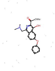 COC(=O)c1nc(CN(C)C)c2ccc(Oc3ccccc3)cc2c1O